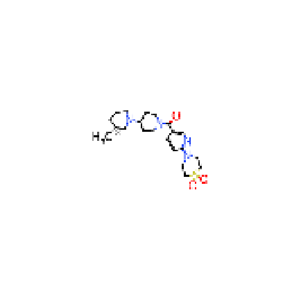 C[C@@H]1CCCN(C2CCN(C(=O)c3ccc(N4CCS(=O)(=O)CC4)nc3)CC2)C1